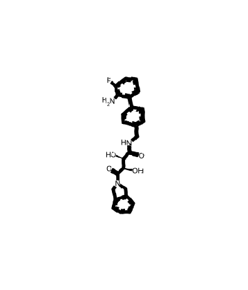 Nc1c(F)cccc1-c1ccc(CNC(=O)[C@H](O)[C@@H](O)C(=O)N2Cc3ccccc3C2)cc1